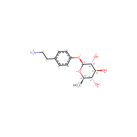 NCCc1ccc(O[C@@H]2O[C@H](C(=O)O)[C@@H](O)[C@H](O)[C@H]2O)cc1